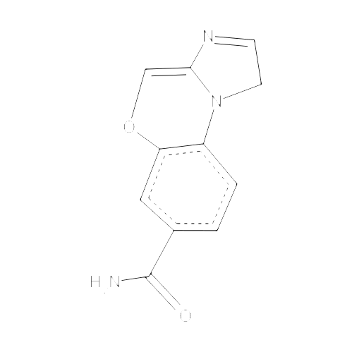 NC(=O)c1ccc2c(c1)OC=C1N=CCN12